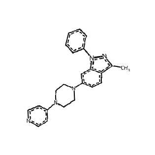 Cc1nn(-c2ccccc2)c2cc(N3CCN(c4ccncc4)CC3)ccc12